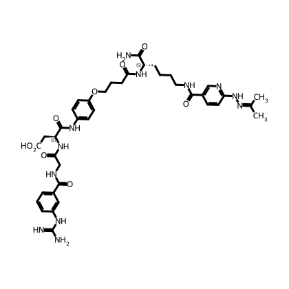 CC(C)=NNc1ccc(C(=O)NCCCC[C@H](NC(=O)CCCOc2ccc(NC(=O)[C@H](CC(=O)O)NC(=O)CNC(=O)c3cccc(NC(=N)N)c3)cc2)C(N)=O)cn1